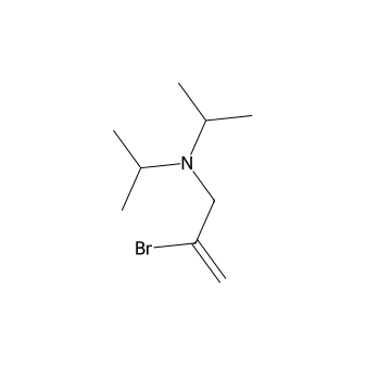 C=C(Br)CN(C(C)C)C(C)C